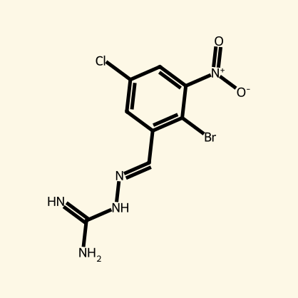 N=C(N)N/N=C/c1cc(Cl)cc([N+](=O)[O-])c1Br